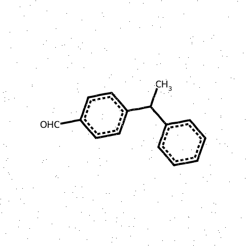 CC(c1ccccc1)c1ccc(C=O)cc1